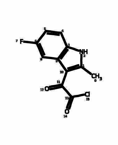 Cc1[nH]c2ccc(F)cc2c1C(=O)C(=O)Cl